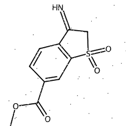 COC(=O)c1ccc2c(c1)S(=O)(=O)CC2=N